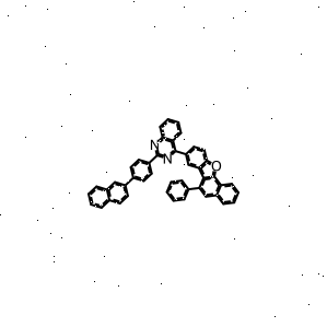 c1ccc(-c2cc3ccccc3c3oc4ccc(-c5nc(-c6ccc(-c7ccc8ccccc8c7)cc6)nc6ccccc56)cc4c23)cc1